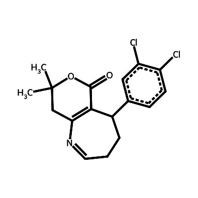 CC1(C)CC2=C(C(=O)O1)C(c1ccc(Cl)c(Cl)c1)CCC=N2